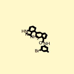 Cc1cc(Br)cc(NC(=O)c2cccc3cc(-c4cccc5[nH]nc(N)c45)ccc23)c1